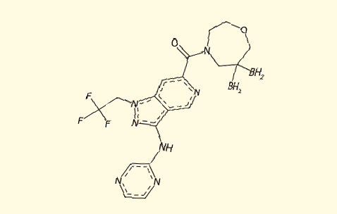 BC1(B)COCCN(C(=O)c2cc3c(cn2)c(Nc2cnccn2)nn3CC(F)(F)F)C1